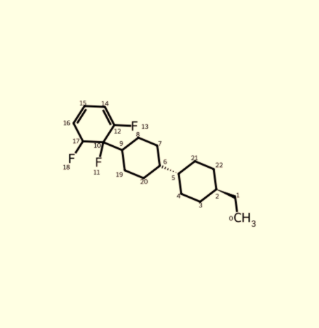 CC[C@H]1CC[C@H](C2CCC(C3(F)C(F)=CC=CC3F)CC2)CC1